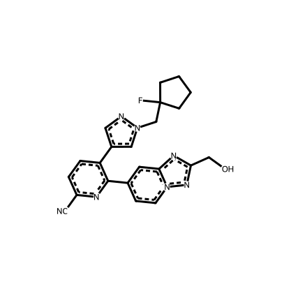 N#Cc1ccc(-c2cnn(CC3(F)CCCC3)c2)c(-c2ccn3nc(CO)nc3c2)n1